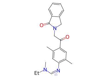 CCN(C)/C=N\c1cc(C)c(C(=O)CN2Cc3ccccc3C2=O)cc1C